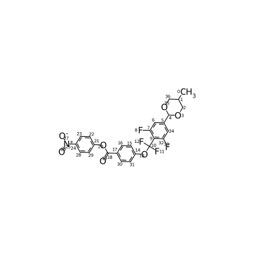 CC1COC(c2cc(F)c(C(F)(F)Oc3ccc(C(=O)Oc4ccc([N+](=O)[O-])cc4)cc3)c(F)c2)OC1